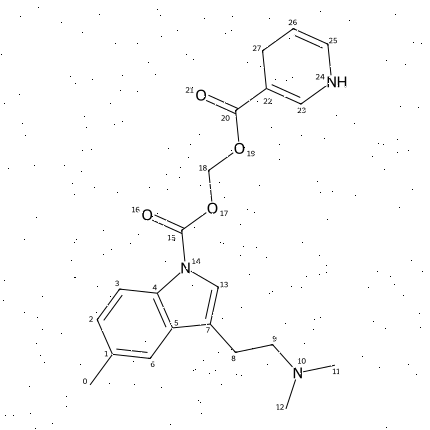 Cc1ccc2c(c1)c(CCN(C)C)cn2C(=O)OCOC(=O)C1=CNC=CC1